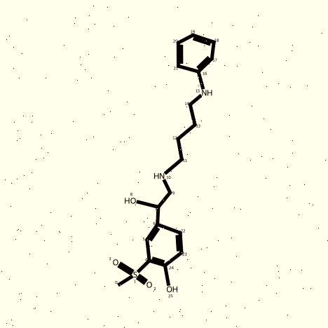 CS(=O)(=O)c1cc(C(O)CNCCCCNc2ccccc2)ccc1O